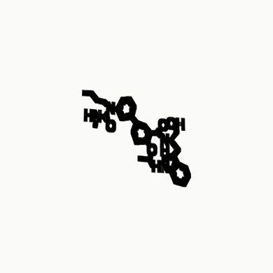 CCCCN(C(=O)NC)c1cccc(-c2ccc(OC(C)C)c(C(=O)N[C@@H](CO)Cc3c[nH]c4ccccc34)c2)c1